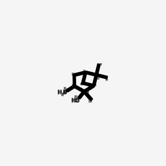 BC1CC2CC(C2(C)C)C1(C)O